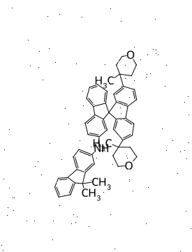 CC1(c2ccc3c(c2)C2(c4ccccc4-c4ccc(Nc5ccc6c(c5)C(C)(C)c5ccccc5-6)cc42)c2cc(C4(C)CCOCC4)ccc2-3)CCOCC1